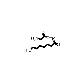 CCCCCCC[C](=O)[K].NCC(=O)O